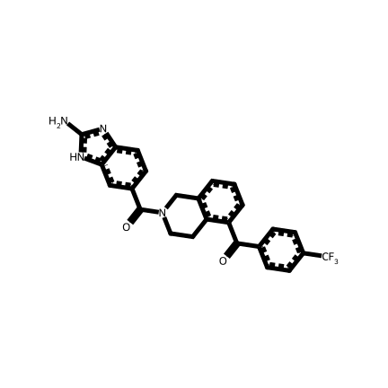 Nc1nc2ccc(C(=O)N3CCc4c(cccc4C(=O)c4ccc(C(F)(F)F)cc4)C3)cc2[nH]1